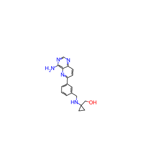 Nc1ncnc2ccc(-c3cccc(CNC4(CO)CC4)c3)nc12